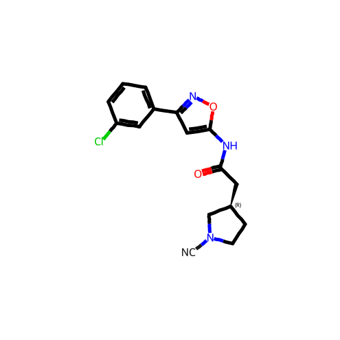 N#CN1CC[C@H](CC(=O)Nc2cc(-c3cccc(Cl)c3)no2)C1